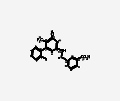 Cc1ccccc1-c1nc(NSc2cccc(C(=O)O)c2)nc(Cl)c1C(F)(F)F